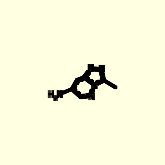 Cc1nnc2cc(N)cnn12